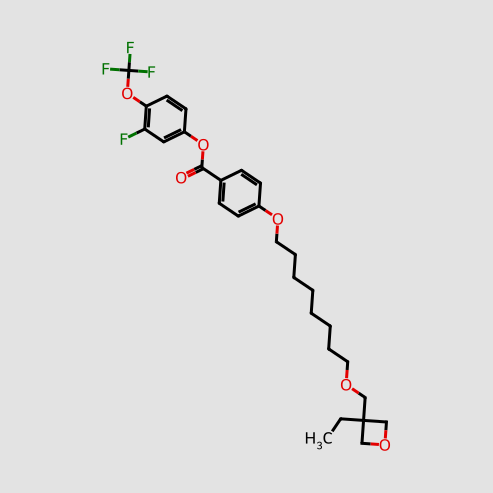 CCC1(COCCCCCCCCOc2ccc(C(=O)Oc3ccc(OC(F)(F)F)c(F)c3)cc2)COC1